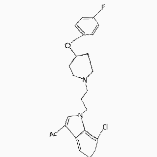 CC(=O)c1cn(CCCN2CCC(Oc3ccc(F)cc3)CC2)c2c1=CCCC=2Cl